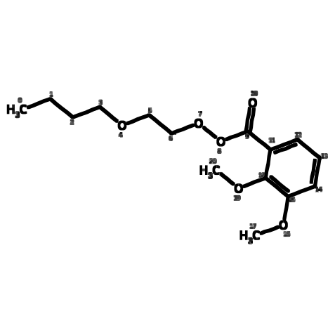 CCCCOC[CH]OOC(=O)c1cccc(OC)c1OC